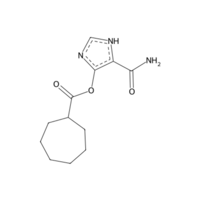 NC(=O)c1[nH]cnc1OC(=O)C1CCCCCC1